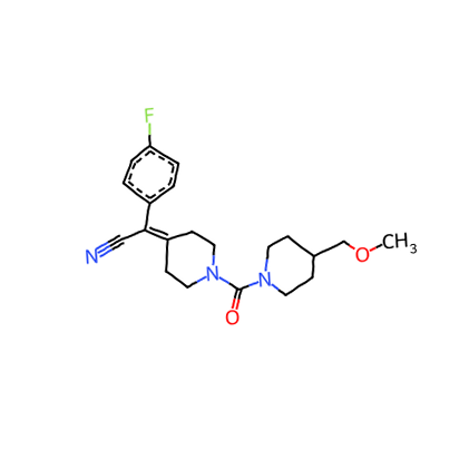 COCC1CCN(C(=O)N2CCC(=C(C#N)c3ccc(F)cc3)CC2)CC1